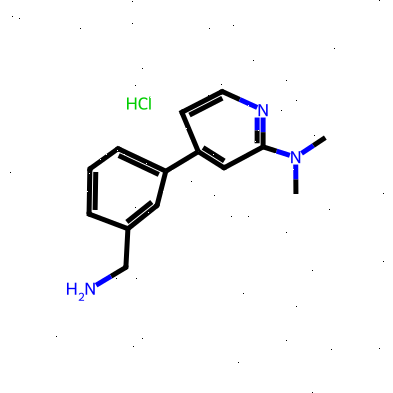 CN(C)c1cc(-c2cccc(CN)c2)ccn1.Cl